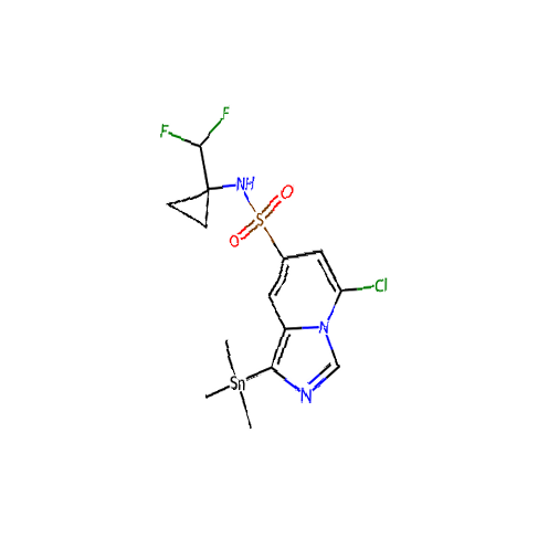 [CH3][Sn]([CH3])([CH3])[c]1ncn2c(Cl)cc(S(=O)(=O)NC3(C(F)F)CC3)cc12